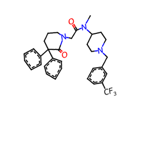 CN(C(=O)CN1CCCC(c2ccccc2)(c2ccccc2)C1=O)C1CCN(Cc2cccc(C(F)(F)F)c2)CC1